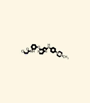 CN1CCN(c2ccc(Nc3cc4c(Oc5cccc(NC(=O)/C=C\Cl)c5)nccc4s3)cc2)CC1